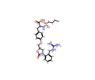 CCCCS(=O)(=O)NC(Cc1ccc(OCC2CN(c3ccccc3CNC(=N)N)C(=O)O2)cc1)C(=O)O